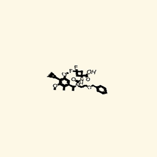 COc1cc(C(C)N(CCOCc2ccccc2)C(=O)NC2(C(=O)O)CC(F)(F)C2)c(C)c(OC)c1C1CC1